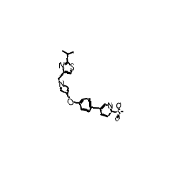 CC(C)c1nc(CN2CC(Oc3ccc(-c4ccc(S(C)(=O)=O)nc4)cc3)C2)cs1